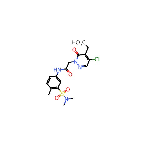 Cc1ccc(NC(=O)Cn2ncc(Cl)c(CC(=O)O)c2=O)cc1S(=O)(=O)N(C)C